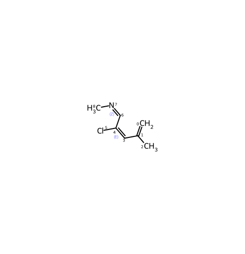 C=C(C)/C=C(Cl)\C=N/C